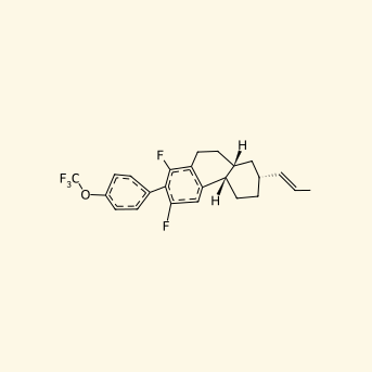 C/C=C/[C@@H]1CC[C@@H]2c3cc(F)c(-c4ccc(OC(F)(F)F)cc4)c(F)c3CC[C@@H]2C1